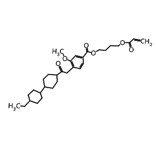 C=CC(=O)OCCCCOC(=O)c1ccc(CC(=O)C2CCC(C3CCC(CC)CC3)CC2)c(OC)c1